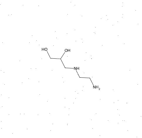 NCCNCC(O)CO